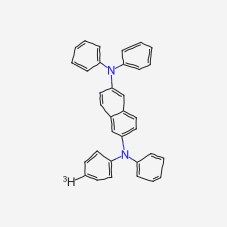 [3H]c1ccc(N(c2ccccc2)c2ccc3cc(N(c4ccccc4)c4ccccc4)ccc3c2)cc1